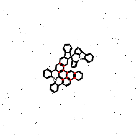 c1ccc(-c2ccc(-c3ccccc3N(c3cccc(-c4ccc5c(c4)C4(c6ccccc6-5)c5ccccc5-n5c6ccccc6c6cccc4c65)c3)c3ccccc3-c3cccc(-c4ccccc4)c3)cc2)cc1